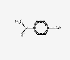 [CH]c1ccc([S+](C)[O-])cc1